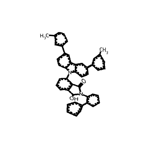 Cc1cccc(-c2ccc3c(c2)c2cc(-c4cccc(C)c4)ccc2n3-c2cccc3c2C(=O)N(c2ccccc2-c2ccccc2)C3O)c1